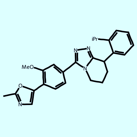 COc1cc(-c2nnc3n2CCCC3c2ccccc2C(C)C)ccc1-c1cnc(C)o1